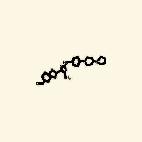 Nc1nc(Nc2ccc(N3CCC(N4CCCC4)CC3)cc2)sc1C1Oc2ccc(C=O)cc2O1